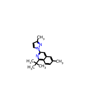 Cc1ccc2c(C(C)(C)C)nc(-n3ccc(C)n3)cc2c1